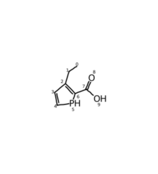 CCc1cc[pH]c1C(=O)O